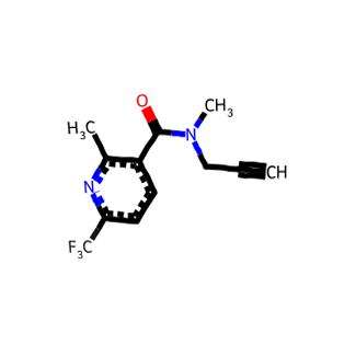 C#CCN(C)C(=O)c1ccc(C(F)(F)F)nc1C